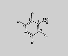 Cc1cc(C)c(C)c(Br)c1C